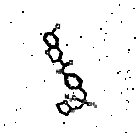 C[N+](C)(Cc1ccc(NC(=O)C2=Cc3cc(Cl)ccc3OC2)cc1)C[C@H]1CCCO1